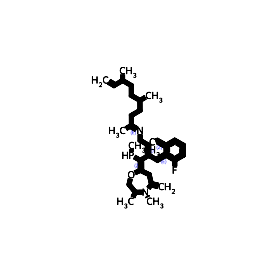 C=CC(C)CCC(C)CC/C(C)=N/C/C=C(/C=c1/c(F)ccc/c1=C/C)C(\PC)=C1/CC(=C)N(C)C(C)CO1